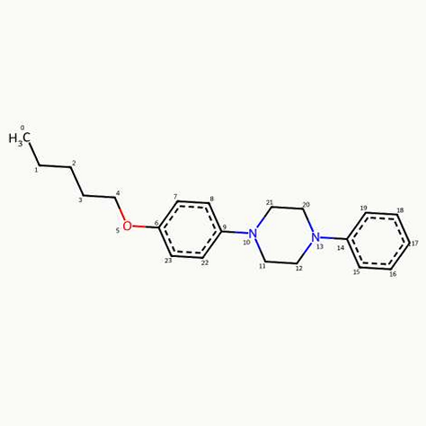 CCCCCOc1ccc(N2CCN(c3cc[c]cc3)CC2)cc1